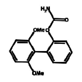 COc1cccc(OC)c1-c1ccccc1OC(N)=O